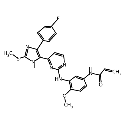 C=CC(=O)Nc1ccc(OC)c(Nc2nccc(-c3[nH]c(SC)nc3-c3ccc(F)cc3)n2)c1